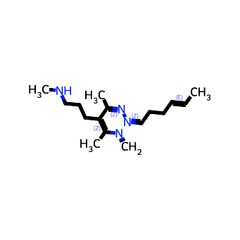 C=N\C(C)=C(CCCNC)/C(C)=N\N=C/CC/C=C/C